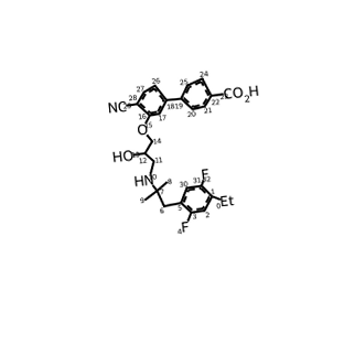 CCc1cc(F)c(CC(C)(C)NCC(O)COc2cc(-c3ccc(C(=O)O)cc3)ccc2C#N)cc1F